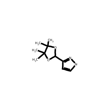 CC1(C)OC(C2=N[N]C=C2)OC1(C)C